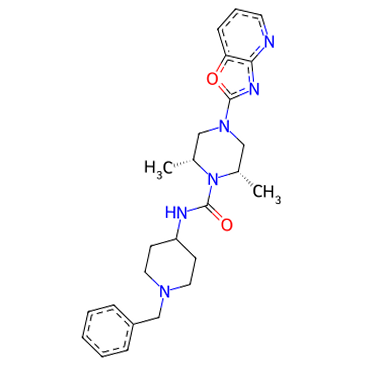 C[C@@H]1CN(c2nc3ncccc3o2)C[C@H](C)N1C(=O)NC1CCN(Cc2ccccc2)CC1